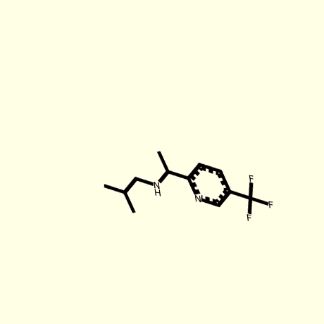 CC(C)CNC(C)c1ccc(C(F)(F)F)cn1